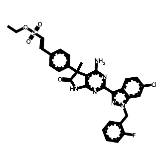 CCOS(=O)(=O)/C=C/c1ccc(C2(C)C(=O)Nc3nc(-c4nn(Cc5ccccc5F)c5cc(Cl)ccc45)nc(N)c32)cc1